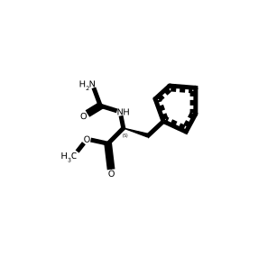 COC(=O)[C@H](Cc1ccccc1)NC(N)=O